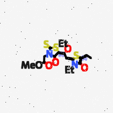 C/C=c1/sc(=C/C(OCC)=C2/SC(=S)N(CC(=O)OC)C2=O)n(CC)c1=O